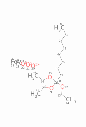 CCCCCCCC[Si](OCC)(OCC)OCC.[Fe+3].[Fe+3].[O-2].[O-2].[O-2]